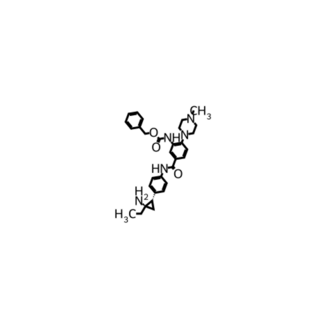 CC[C@@]1(N)C[C@H]1c1ccc(NC(=O)c2ccc(N3CCN(C)CC3)c(NC(=O)OCc3ccccc3)c2)cc1